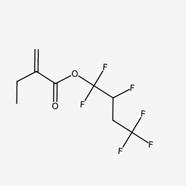 C=C(CC)C(=O)OC(F)(F)C(F)CC(F)(F)F